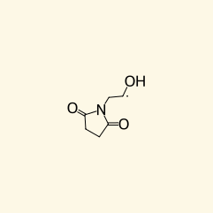 O=C1CCC(=O)N1C[CH]O